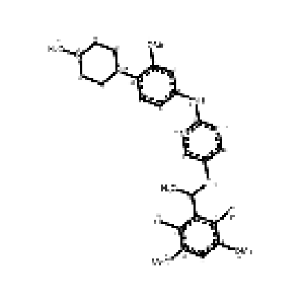 COc1cc(Nc2ncc(OC(C)c3c(Cl)c(OC)cc(OC)c3Cl)cn2)ccc1N1CCN(C)CC1